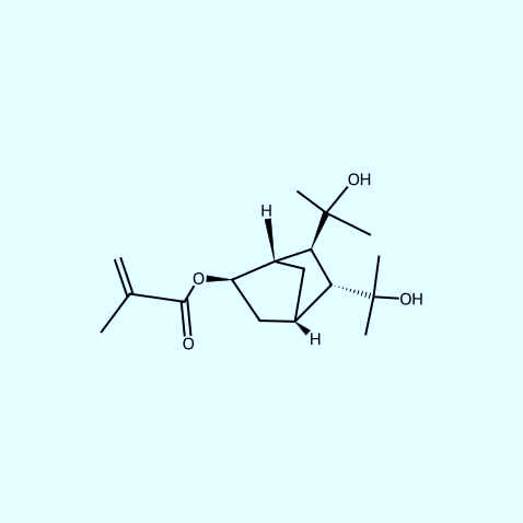 C=C(C)C(=O)O[C@@H]1C[C@@H]2C[C@H]1[C@@H](C(C)(C)O)[C@@H]2C(C)(C)O